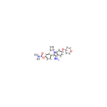 CCN(CC)C(=O)Oc1ccc(-c2c(N)c3ccc(OC4CCOCC4)cc3n2C2CCC2)cc1